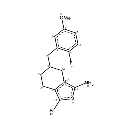 COc1ccc(F)c(CC2CCc3c(C(C)C)nc(N)n3C2)c1